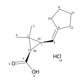 CC1(C)[C@H](C(=O)O)[C@@H]1C=C1CCCC1.Cl